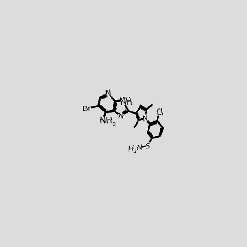 Cc1cc(-c2nc3c(N)c(Br)cnc3[nH]2)c(C)n1-c1cc(SN)ccc1Cl